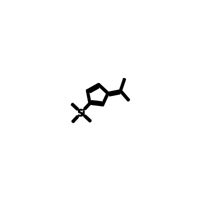 CC(C)=C1C=CC([Si](C)(C)C)=C1